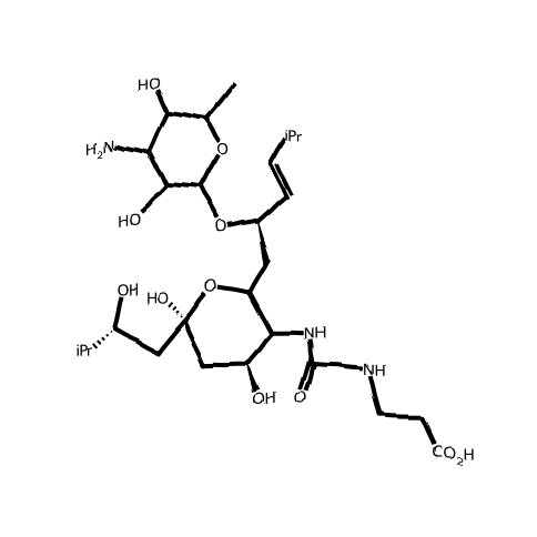 CC(C)/C=C/[C@@H](CC1O[C@](O)(C[C@@H](O)C(C)C)C[C@H](O)C1NC(=O)NCCC(=O)O)OC1OC(C)C(O)C(N)C1O